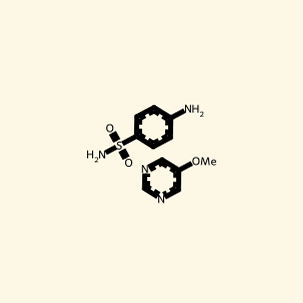 COc1cncnc1.Nc1ccc(S(N)(=O)=O)cc1